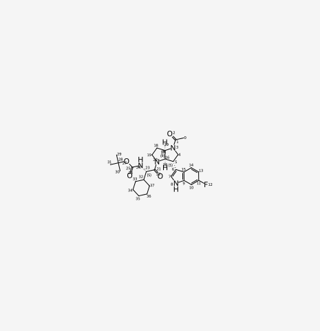 CC(=O)N1C[C@H](c2c[nH]c3cc(F)ccc23)[C@@H]2[C@H]1CCN2C(=O)[C@@H](NC(=O)OC(C)(C)C)C1CCCCC1